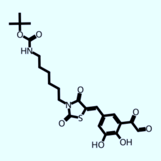 CC(C)(C)OC(=O)NCCCCCCN1C(=O)S/C(=C\c2cc(O)c(O)c(C(=O)C=O)c2)C1=O